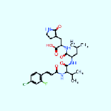 CC(C)CC(NC(=O)C(NC(=O)/C=C/c1ccc(Cl)cc1F)C(C)C)C(=O)NC(CC1CCNC1=O)C(=O)O